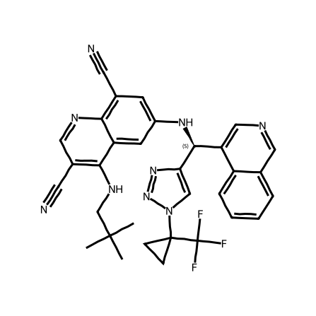 CC(C)(C)CNc1c(C#N)cnc2c(C#N)cc(N[C@H](c3cn(C4(C(F)(F)F)CC4)nn3)c3cncc4ccccc34)cc12